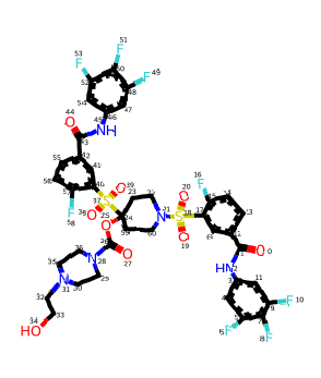 O=C(Nc1cc(F)c(F)c(F)c1)c1ccc(F)c(S(=O)(=O)N2CCC(OC(=O)N3CCN(CCO)CC3)(S(=O)(=O)c3cc(C(=O)Nc4cc(F)c(F)c(F)c4)ccc3F)CC2)c1